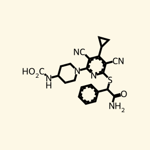 N#Cc1c(SC(C(N)=O)c2ccccc2)nc(N2CCC(NC(=O)O)CC2)c(C#N)c1C1CC1